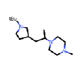 CC(CC1CCN(C(C)(C)C)C1)N1CCN(C)CC1